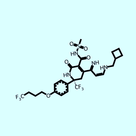 CS(=O)(=O)NC(=O)C1=C(C(=N)/C=C\NCC2CCC2)C[C@](c2ccc(OCCCC(F)(F)F)cc2)(C(F)(F)F)NC1=O